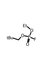 CCOP(=O)(F)OCC(C)(C)C